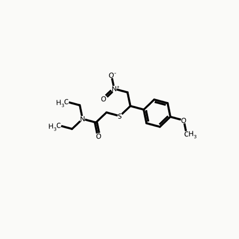 CCN(CC)C(=O)CSC(C[N+](=O)[O-])c1ccc(OC)cc1